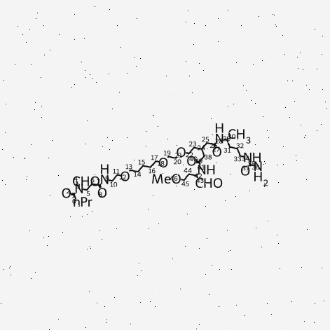 CCCC(=O)N(C=O)CCC(=O)NCCOCCCCCOCCOCCC(CC(=O)NC(C)CCCNC(N)=O)CC(=O)NC(C=O)CCOC